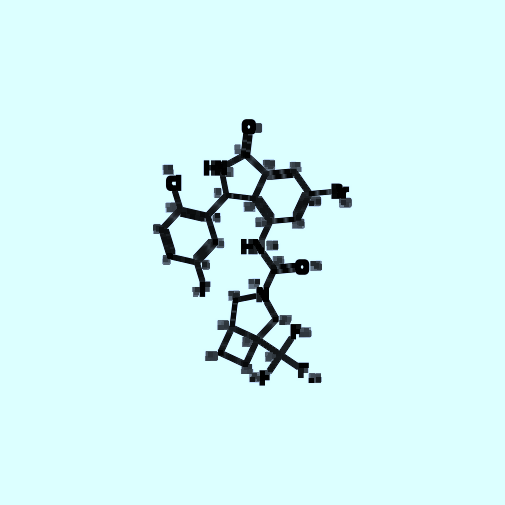 O=C1NC(c2cc(F)ccc2Cl)c2c(NC(=O)N3CC4CCC4(C(F)(F)F)C3)cc(Br)cc21